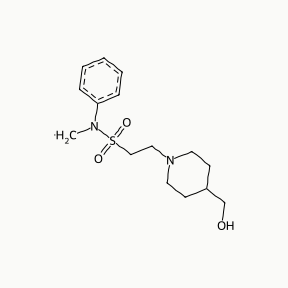 [CH2]N(c1ccccc1)S(=O)(=O)CCN1CCC(CO)CC1